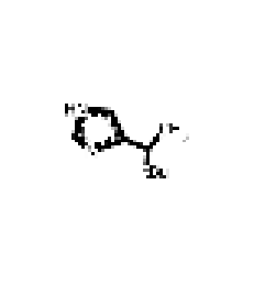 CC(c1c[nH]cn1)C(C)(C)C